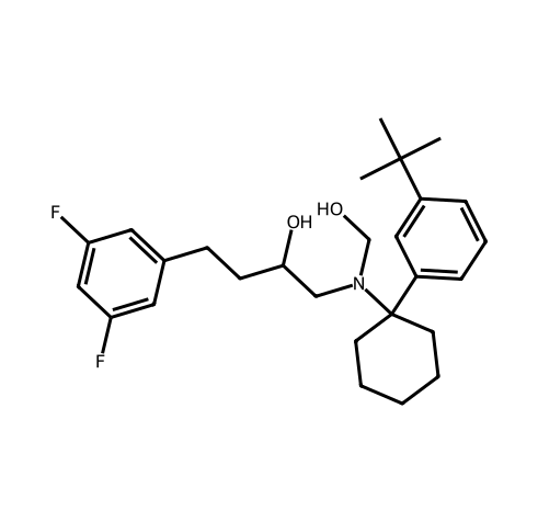 CC(C)(C)c1cccc(C2(N(CO)CC(O)CCc3cc(F)cc(F)c3)CCCCC2)c1